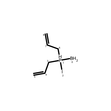 B[PH](I)(CC=C)CC=C